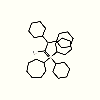 CC(P(C1CCCCC1)C1CCCCC1)=P(C1CCCCCC1)(C1CCCCC1)C1CCCCC1